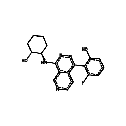 Oc1cccc(F)c1-c1nnc(N[C@@H]2CCCC[C@H]2O)c2cnccc12